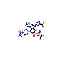 C[C@@H]1CN(c2cc(S(=O)(=O)NC3(C#N)CC3)cc3c(-c4nnc(C(F)F)s4)nn(CC(F)(F)F)c23)CCN1C(=O)N(C)C